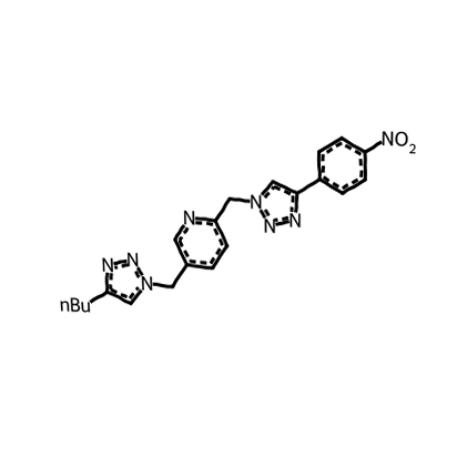 CCCCc1cn(Cc2ccc(Cn3cc(-c4ccc([N+](=O)[O-])cc4)nn3)nc2)nn1